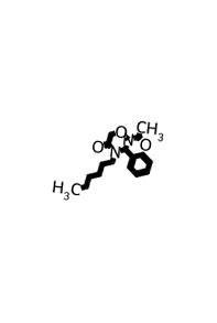 CCCCCCN1C(=O)CON(C(C)=O)C1c1ccccc1